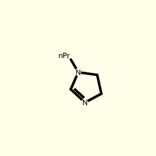 CCCN1C=NCC1